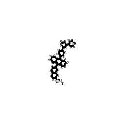 Cc1ccc2ccc(-c3c4ccccc4c(-c4ccc(-c5cc(-c6ccncc6)ccn5)cc4)c4ccccc34)cc2c1